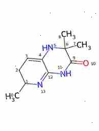 CC1CC=C2NC(C)(C)C(=O)NC2=N1